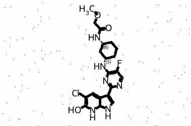 COCC(=O)N[C@@H]1CCC[C@H](Nc2nc(C3=CNC4NC(O)=C(Cl)C=C34)ncc2F)C1